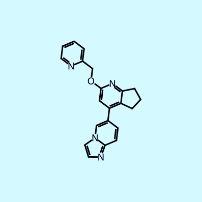 c1ccc(COc2cc(-c3ccc4nccn4c3)c3c(n2)CCC3)nc1